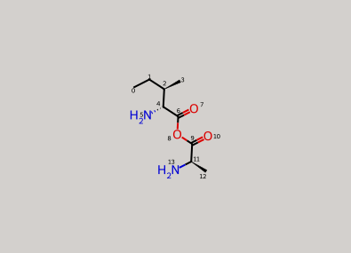 CC[C@@H](C)[C@@H](N)C(=O)OC(=O)[C@@H](C)N